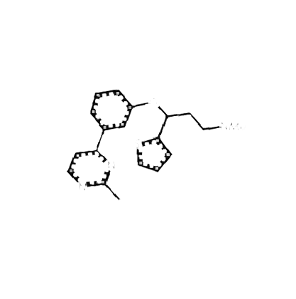 CNCCC(Oc1cccc(-c2ccnc(C)n2)c1)c1cccs1